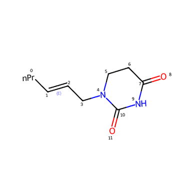 CCC/C=C/CN1CCC(=O)NC1=O